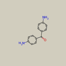 Nc1ccc(C(=O)c2ccc(N)cc2)cc1